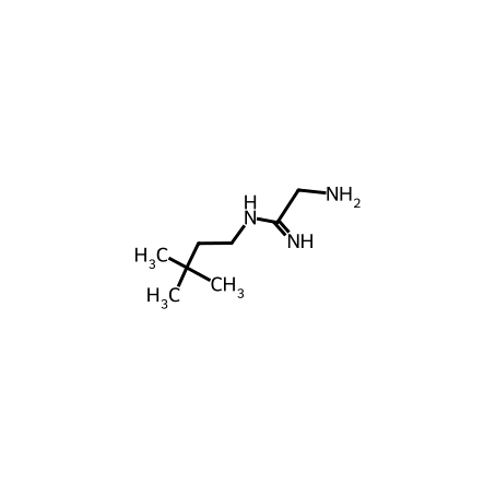 CC(C)(C)CCNC(=N)CN